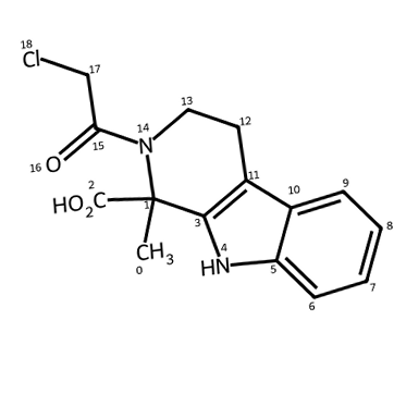 CC1(C(=O)O)c2[nH]c3ccccc3c2CCN1C(=O)CCl